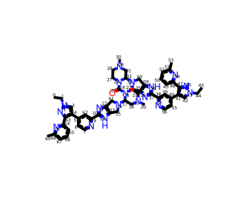 CCn1cc(-c2ccnc(-c3nc4c([nH]3)CN(C3CN(C)CCN3C(=O)N3CCN(C)CC3N3Cc5nc(-c6cc(-c7cn(CC)nc7-c7cccc(C)n7)ccn6)[nH]c5C3)C4)c2)c(-c2cccc(C)n2)n1